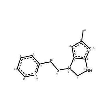 Cc1cc2c(s1)NCN2SCc1ccccn1